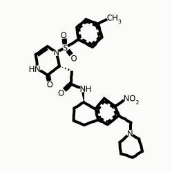 Cc1ccc(S(=O)(=O)N2C=CNC(=O)[C@H]2CC(=O)N[C@@H]2CCCc3cc(CN4CCCCC4)c([N+](=O)[O-])cc32)cc1